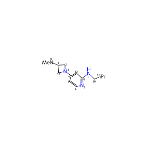 CNC1CN(c2ccnc(NCC(C)C)c2)C1